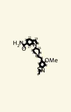 COc1cc2nc(C)sc2cc1CCN1CCC(n2ccc3ccc(C(N)=O)cc32)CC1